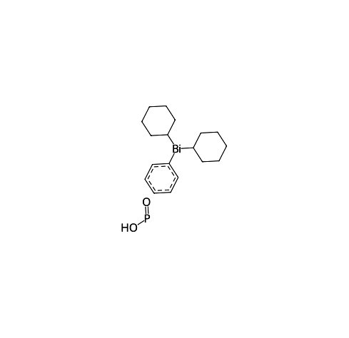 O=PO.c1cc[c]([Bi]([CH]2CCCCC2)[CH]2CCCCC2)cc1